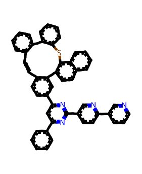 C1=C\c2ccc(-c3cc(-c4ccccc4)nc(-c4ccc(-c5cccnc5)nc4)n3)cc2-c2ccc3ccccc3c2Sc2ccccc2-c2ccccc2/1